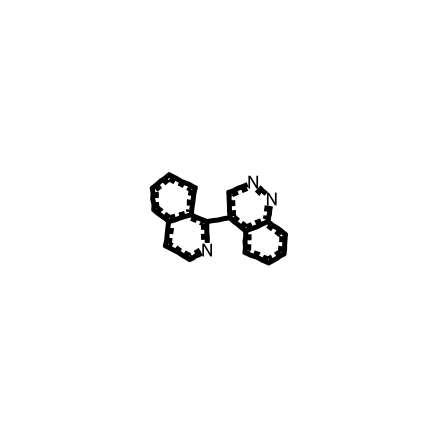 c1ccc2c(-c3cnnc4ccccc34)nccc2c1